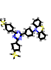 CS(C)(C)c1ccc(-c2nc(-c3ccc(N4c5ccccc5Sc5ccccc54)cc3)nc(-c3ccc(S(C)(C)C)cc3)n2)cc1